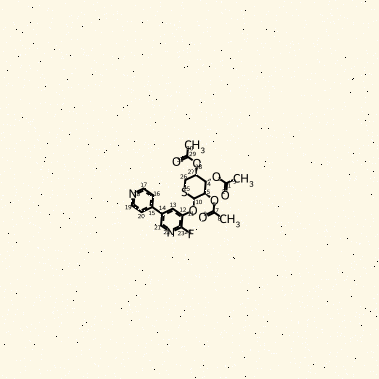 CC(=O)O[C@@H]1[C@@H](OC(C)=O)[C@@H](Oc2cc(-c3ccncc3)cnc2F)SC[C@H]1OC(C)=O